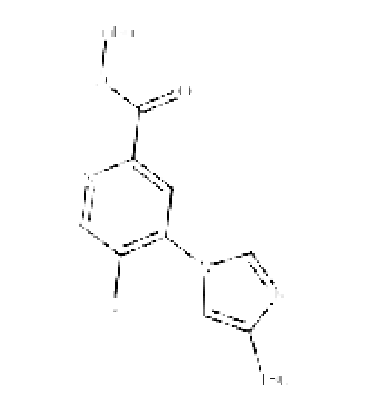 CCCCOC(=O)c1cc(-n2cnc(C(C)(C)C)c2)c(C)cn1